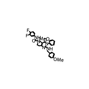 COc1ccc(CNc2nc3c(c(=O)n2-c2ccccc2OC)CN(C(=O)Nc2ccc(F)c(F)c2)CC3)cc1